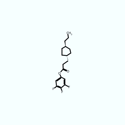 CCC[C@H]1CC[C@H](CCC(=O)Oc2cc(F)c(F)c(F)c2)CC1